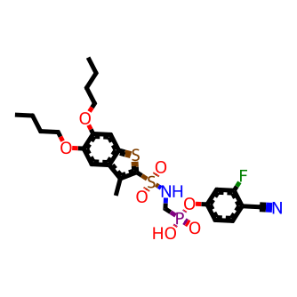 CCCCOc1cc2sc(S(=O)(=O)NCP(=O)(O)Oc3ccc(C#N)c(F)c3)c(C)c2cc1OCCCC